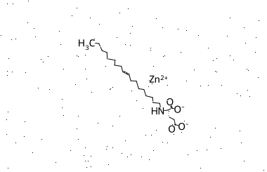 CCCCCCCCC=CCCCCCCCCN[C@@H](CCC(=O)[O-])C(=O)[O-].[Zn+2]